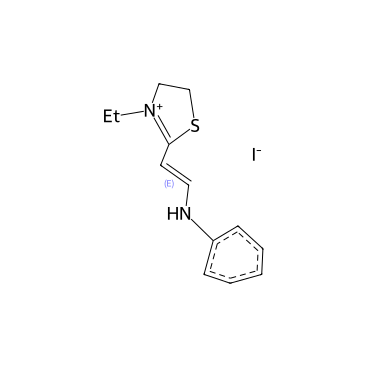 CC[N+]1=C(/C=C/Nc2ccccc2)SCC1.[I-]